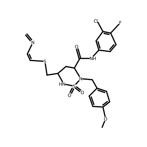 C=N/C=C\SCC1CC(C(=O)Nc2ccc(F)c(Cl)c2)N(Cc2ccc(OC)cc2)S(=O)(=O)N1